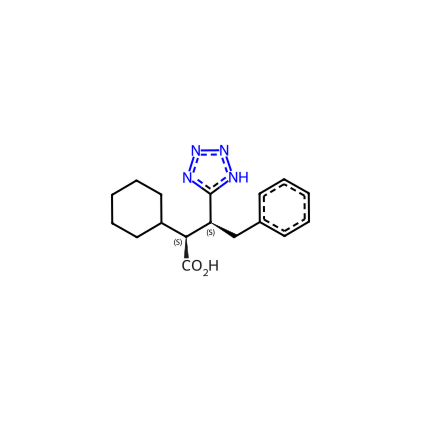 O=C(O)[C@@H](C1CCCCC1)[C@H](Cc1ccccc1)c1nnn[nH]1